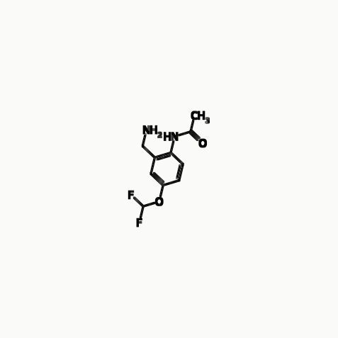 CC(=O)Nc1ccc(OC(F)F)cc1CN